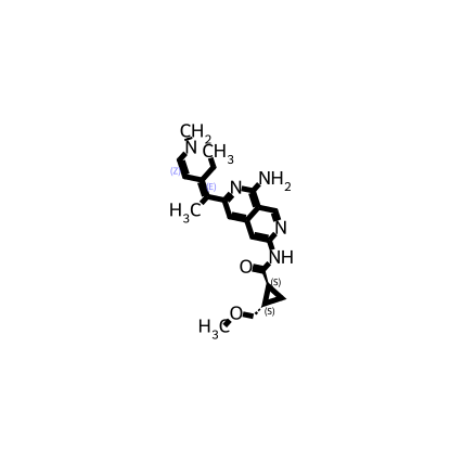 C=N/C=C\C(CC)=C(/C)c1cc2cc(NC(=O)[C@H]3C[C@@H]3COC)ncc2c(N)n1